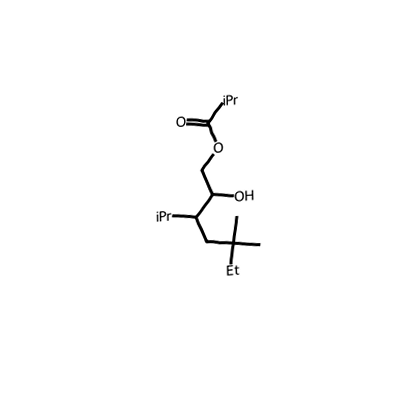 CCC(C)(C)CC(C(C)C)C(O)COC(=O)C(C)C